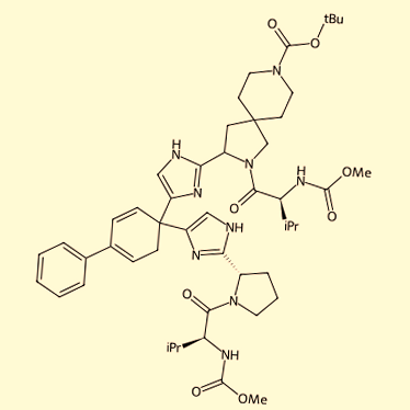 COC(=O)N[C@H](C(=O)N1CC2(CCN(C(=O)OC(C)(C)C)CC2)CC1c1nc(C2(c3c[nH]c([C@@H]4CCCN4C(=O)[C@@H](NC(=O)OC)C(C)C)n3)C=CC(c3ccccc3)=CC2)c[nH]1)C(C)C